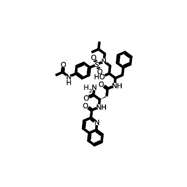 CC(=O)Nc1ccc(S(=O)(=O)N(CC(C)C)CC(O)C(Cc2ccccc2)NC(=O)C[C@H](NC(=O)c2ccc3ccccc3n2)C(N)=O)cc1